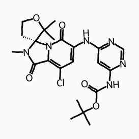 CN1C(=O)c2c(Cl)cc(Nc3cc(NC(=O)OC(C)(C)C)ncn3)c(=O)n2[C@@]12CCOC2(C)C